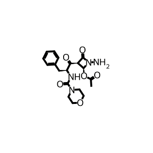 CC(=O)O[C@H]1[C@@H](C(=O)[C@H](Cc2ccccc2)NC(=O)N2CCOCC2)C(=O)N1N